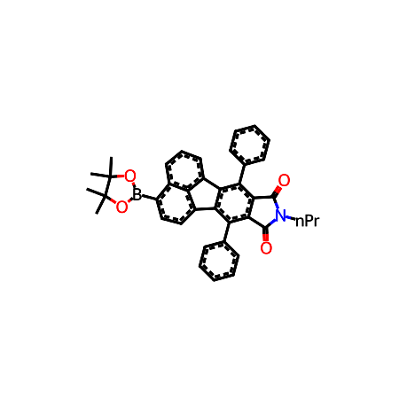 CCCN1C(=O)c2c(c(-c3ccccc3)c3c(c2-c2ccccc2)-c2cccc4c(B5OC(C)(C)C(C)(C)O5)ccc-3c24)C1=O